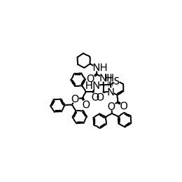 O=C(NC1CCCCC1)NC1(NC(=O)C(C(=O)OC(c2ccccc2)c2ccccc2)c2ccccc2)C(=O)N2C(C(=O)OC(c3ccccc3)c3ccccc3)=CCS[C@H]21